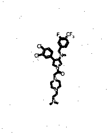 CN(C)CCN1CCN(CC(=O)N2CC(c3ccc(Cl)c(Cl)c3)C(N(C)Cc3ccc(C(F)(F)F)c(F)c3)C2)CC1